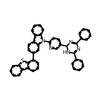 c1ccc(C2=NC(c3ccc(-n4c5ccccc5c5ccc(-c6cccc7c6sc6ccccc67)cc54)nc3)NC(c3ccccc3)=N2)cc1